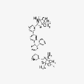 CC1(C)N=C(c2cncc(-c3ccc4c5ccc(-c6cncc(C7=NC(C)(C)C(C)(C)S7)c6)cc5c5ccccc5c4c3)c2)SC1(C)C